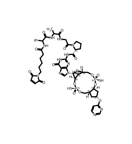 CC(NC(=O)C(NC(=O)CCCCCN1C(=O)C=CC1=O)C(C)C)C(=O)NCC(=O)N1CCC[C@@H]1C(=O)Nc1nc2c(ncn2[C@@H]2O[C@@H]3CO[P@@](=O)(S)O[C@H]4C[C@H](Oc5ccncn5)C[C@@H]4CO[P@@](=O)(S)O[C@@H]2[C@@H]3O)c(=O)[nH]1